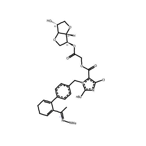 CCCCc1nc(Cl)c(C(=O)OCC(=O)O[C@H]2COC3[C@H](O)CO[C@@H]32)n1Cc1ccc(C2=CCCC=C2/C(C)=N/NC)cc1